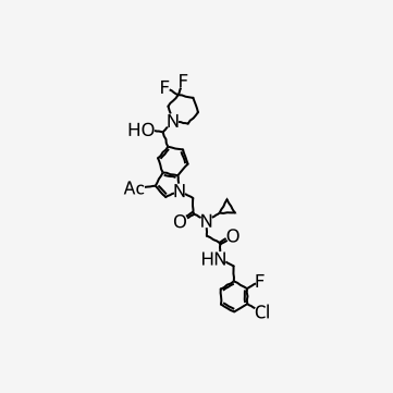 CC(=O)c1cn(CC(=O)N(CC(=O)NCc2cccc(Cl)c2F)C2CC2)c2ccc(C(O)N3CCCC(F)(F)C3)cc12